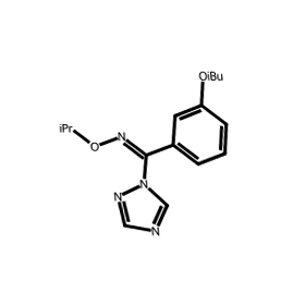 CC(C)COc1cccc(C(=NOC(C)C)n2cncn2)c1